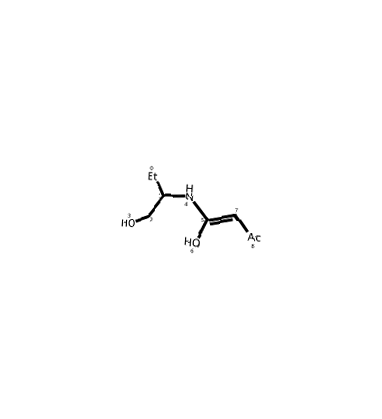 CCC(CO)N/C(O)=C/C(C)=O